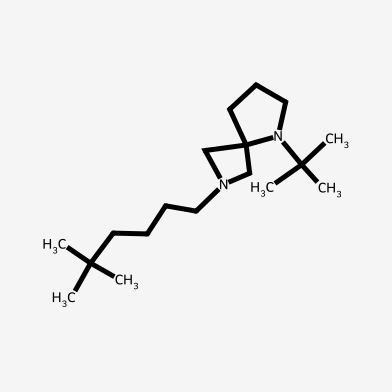 CC(C)(C)CCCCN1CC2(CCCN2C(C)(C)C)C1